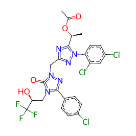 CC(=O)O[C@@H](C)c1nc(Cn2nc(-c3ccc(Cl)cc3)n(C[C@H](O)C(F)(F)F)c2=O)nn1-c1ccc(Cl)cc1Cl